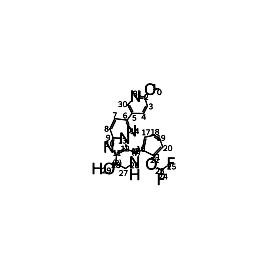 COc1ccc(-c2ccc3nc4c(n3n2)[C@H](c2ccccc2OC(F)F)NC[C@H]4O)cn1